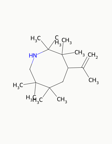 C=C(C)C1CC(C)(C)C(C)(C)CNC(C)(C)C1(C)C